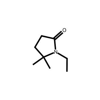 CCN1C(=O)CCC1(C)C